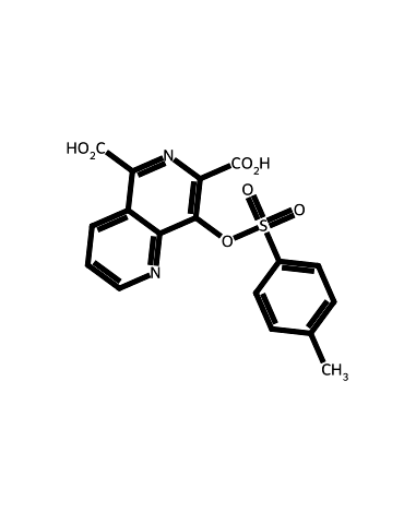 Cc1ccc(S(=O)(=O)Oc2c(C(=O)O)nc(C(=O)O)c3cccnc23)cc1